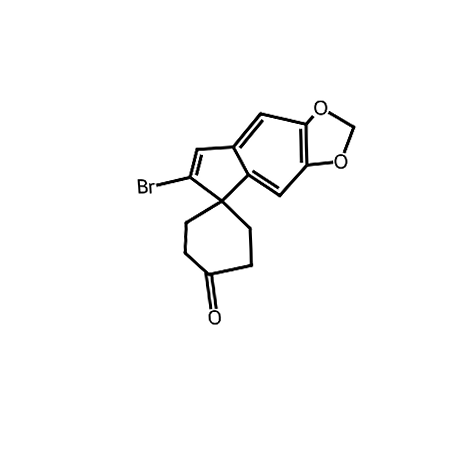 O=C1CCC2(CC1)C(Br)=Cc1cc3c(cc12)OCO3